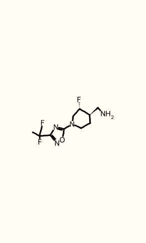 CC(F)(F)c1noc(N2CC[C@H](CN)[C@@H](F)C2)n1